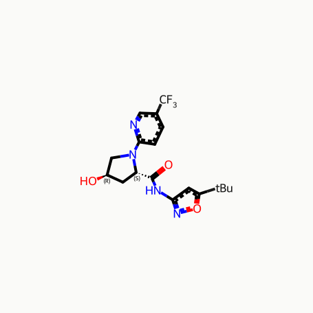 CC(C)(C)c1cc(NC(=O)[C@@H]2C[C@@H](O)CN2c2ccc(C(F)(F)F)cn2)no1